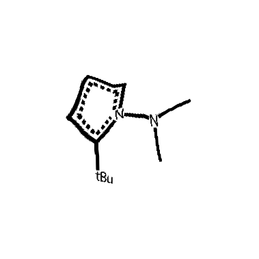 CN(C)n1cccc1C(C)(C)C